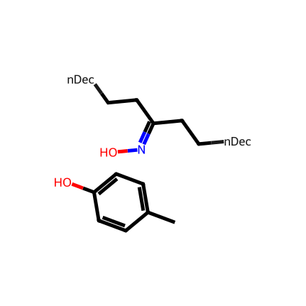 CCCCCCCCCCCCC(CCCCCCCCCCCC)=NO.Cc1ccc(O)cc1